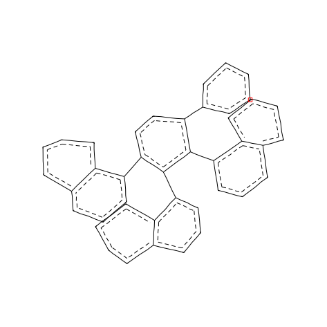 c1ccc(-c2ccc(-c3cccc4ccccc34)c(-c3cccc4ccccc34)c2-c2cccc3ccccc23)cc1